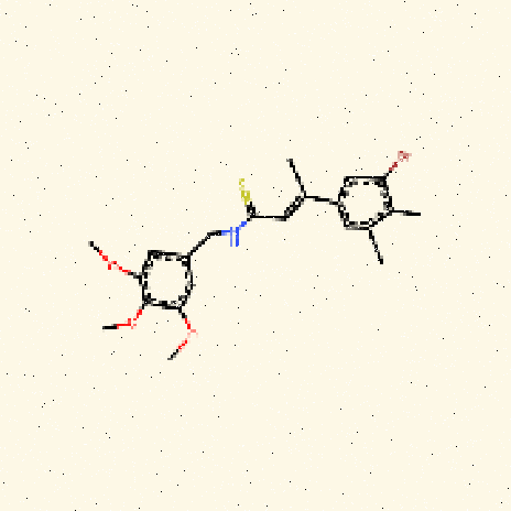 COc1cc(CNC(=S)/C=C(\C)c2cc(C)c(C)c(Br)c2)cc(OC)c1OC